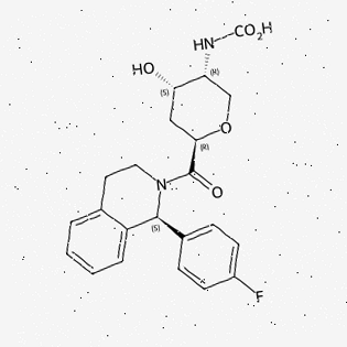 O=C(O)N[C@@H]1CO[C@@H](C(=O)N2CCc3ccccc3[C@@H]2c2ccc(F)cc2)C[C@@H]1O